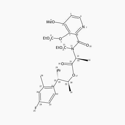 CCOC(=O)Oc1c(OC)ccnc1C(=O)N(C(=O)OCC)[C@@H](C)C(=O)O[C@@H](C)[C@H](c1ccc(F)cc1C)C(C)C